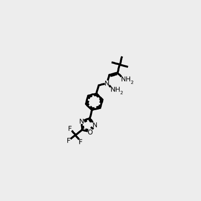 CC(C)(C)/C(N)=C/N(N)Cc1ccc(-c2noc(C(F)(F)F)n2)cc1